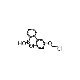 OB(O)c1ccccc1-c1cccc(OCCCl)c1